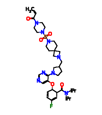 C=CC(=O)N1CCN(S(=O)(=O)N2CCC3(CC2)CN(CC2CCN(c4ncncc4OC4C=CC(F)=CC4C(=O)N(C(C)C)C(C)C)C2)C3)CC1